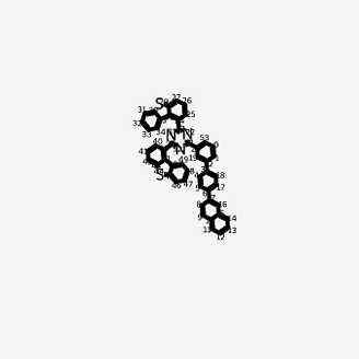 c1cc(-c2ccc(-c3ccc4ccccc4c3)cc2)cc(-c2nc(-c3cccc4sc5ccccc5c34)nc(-c3cccc4sc5ccccc5c34)n2)c1